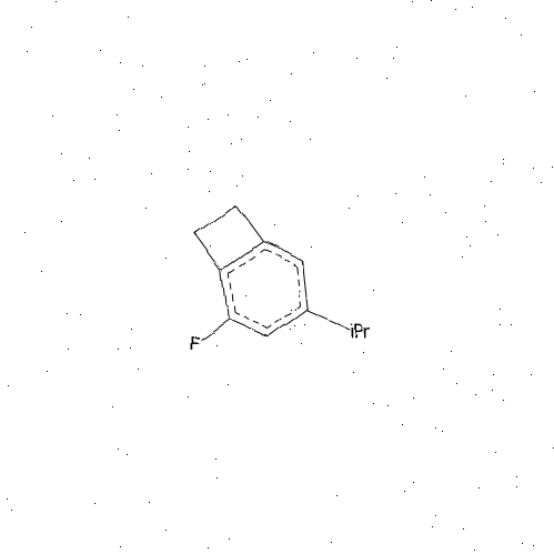 CC(C)c1cc(F)c2c(c1)CC2